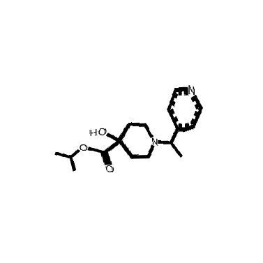 CC(C)OC(=O)C1(O)CCN(C(C)c2ccncc2)CC1